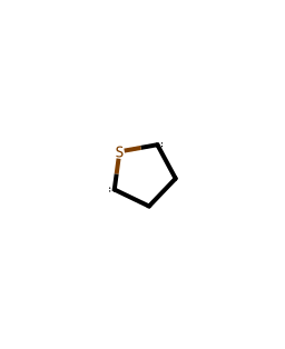 [C]1CC[C]S1